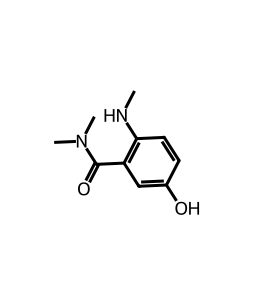 CNc1ccc(O)cc1C(=O)N(C)C